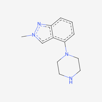 Cn1cc2c(N3CCNCC3)cccc2n1